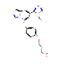 CCn1cnnc1-c1cc(Oc2ccc(OCCCS(C)(=O)=O)cc2)n2cncc2c1